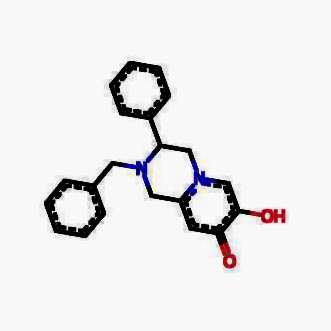 O=c1cc2n(cc1O)CC(c1ccccc1)N(Cc1ccccc1)C2